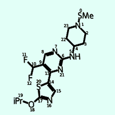 CSN1CCC(Nc2ncc(C(F)F)c(-c3cnc(OC(C)C)s3)n2)CC1